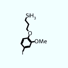 COc1cc(I)ccc1OCCC[SiH3]